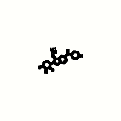 Cl.Cl.O=C1CCC(N2Cc3ccc(NC4CCNCC4)cc3C2=O)C(=O)N1